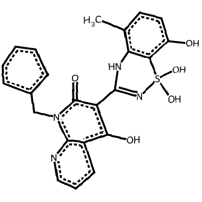 Cc1ccc(O)c2c1NC(c1c(O)c3cccnc3n(Cc3ccccc3)c1=O)=NS2(O)O